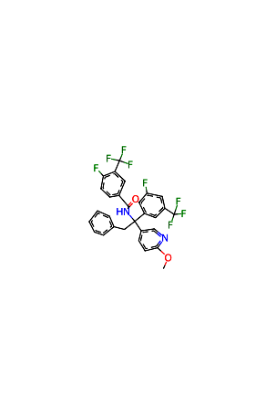 COc1ccc(C(Cc2ccccc2)(NC(=O)c2ccc(F)c(C(F)(F)F)c2)c2cc(F)cc(C(F)(F)F)c2)cn1